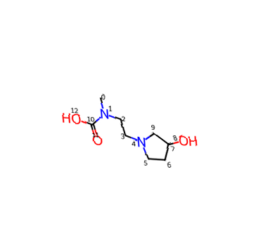 CN(CCN1CCC(O)C1)C(=O)O